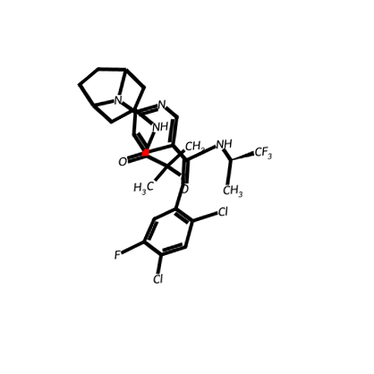 C[C@@H](NC(=O)c1ccc(N2C3CCC2CC(NC(=O)C(C)(C)Oc2cc(F)c(Cl)cc2Cl)C3)nc1)C(F)(F)F